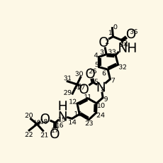 CC1Oc2ccc(CN(Cc3ccc(CNC(=O)OC(C)(C)C)cc3)C(=O)OC(C)(C)C)cc2NC1=O